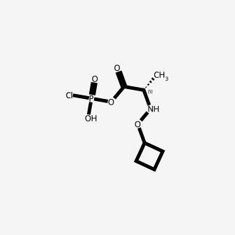 C[C@H](NOC1CCC1)C(=O)OP(=O)(O)Cl